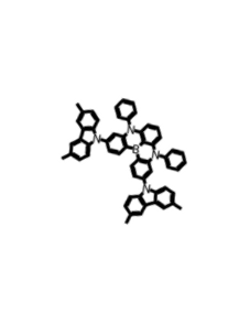 Cc1ccc2c(c1)c1cc(C)ccc1n2-c1ccc2c(c1)N(c1ccccc1)c1cccc3c1B2c1ccc(-n2c4ccc(C)cc4c4cc(C)ccc42)cc1N3c1ccccc1